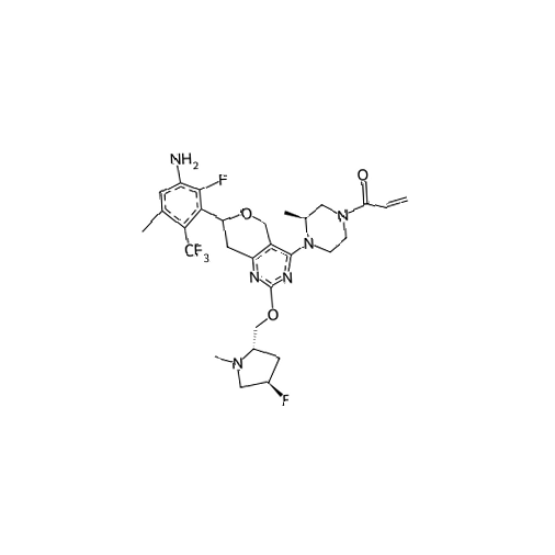 C=CC(=O)N1CCN(c2nc(OC[C@@H]3C[C@@H](F)CN3C)nc3c2COC(c2c(F)c(N)cc(C)c2C(F)(F)F)C3)[C@@H](C)C1